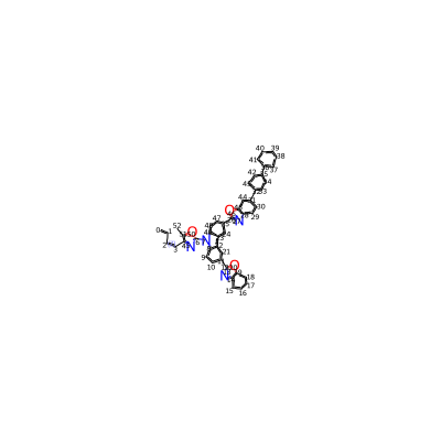 C=C/C=C\c1nc(-n2c3ccc(-c4nc5ccccc5o4)cc3c3cc(-c4nc5ccc(-c6ccc(-c7ccccc7)cc6)cc5o4)ccc32)oc1C